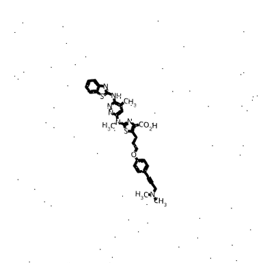 Cc1cc(N(C)c2nc(C(=O)O)c(CCCOc3ccc(C#CCN(C)C)cc3)s2)nnc1Nc1nc2ccccc2s1